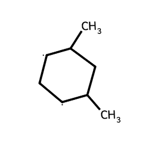 CC1[CH]C[CH]C(C)C1